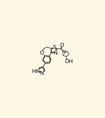 O=C(c1nc2c(s1)CCOc1cc(-c3cn[nH]c3)ccc1-2)N1CC[C@@H](O)C1